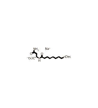 CCCCCCCCCCCCCCCCCC(=O)N[C@@H](CC(N)=O)C(=O)[O-].[Na+]